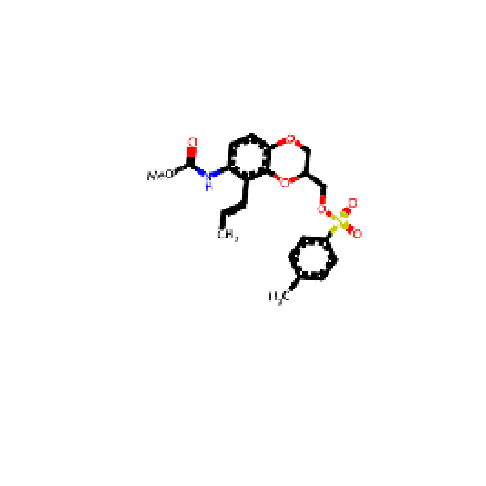 CC=Cc1c(NC(=O)OC)ccc2c1OC(COS(=O)(=O)c1ccc(C)cc1)CO2